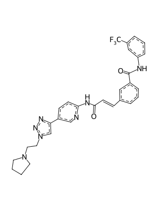 O=C(C=Cc1cccc(C(=O)Nc2cccc(C(F)(F)F)c2)c1)Nc1ccc(-c2cn(CCN3CCCC3)nn2)cn1